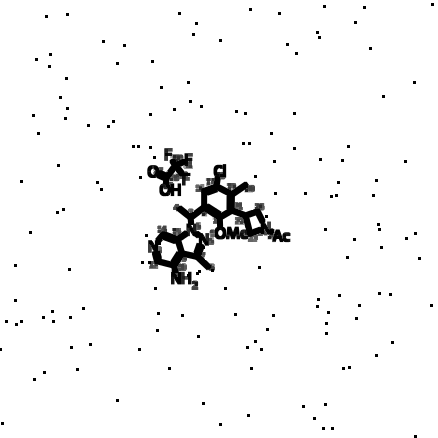 COc1c(C(C)n2nc(C)c3c(N)cncc32)cc(Cl)c(C)c1C1CN(C(C)=O)C1.O=C(O)C(F)(F)F